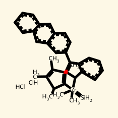 CC1=C(C)C(C)[C]([Zr]([CH3])([CH3])(=[SiH2])[CH]2C=C(c3ccc4cc5ccccc5cc4c3)c3ccccc32)=C1C.Cl.Cl